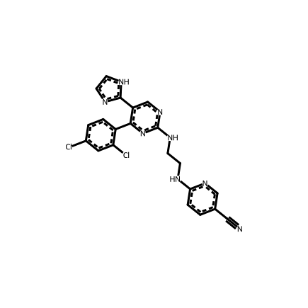 N#Cc1ccc(NCCNc2ncc(-c3ncc[nH]3)c(-c3ccc(Cl)cc3Cl)n2)nc1